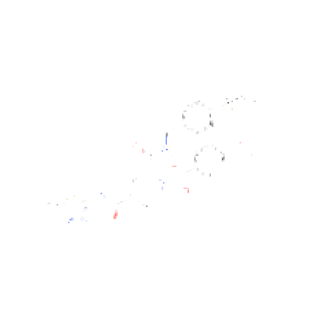 Cc1nnc(NC(=O)N2CCN(S(=O)(=O)c3ccc(OC(F)(F)F)cc3)[C@@H](C(=O)NCc3ccc(C(F)(F)C(F)(F)F)cc3)C2)s1